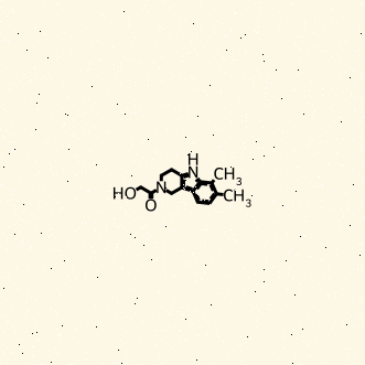 Cc1ccc2c3c([nH]c2c1C)CCN(C(=O)CO)C3